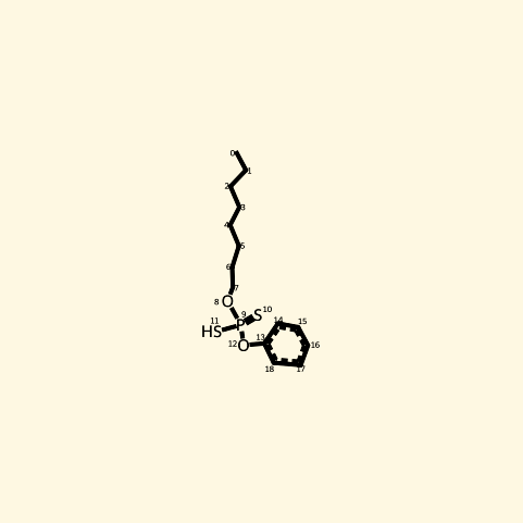 CCCCCCCCOP(=S)(S)Oc1ccccc1